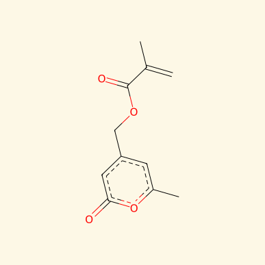 C=C(C)C(=O)OCc1cc(C)oc(=O)c1